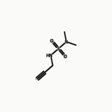 [C]#CCNS(=O)(=O)N(C)C